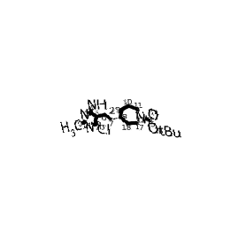 Cc1nc(N)c(CC[C@@H]2CCCN(C(=O)OC(C)(C)C)CC2)c(Cl)n1